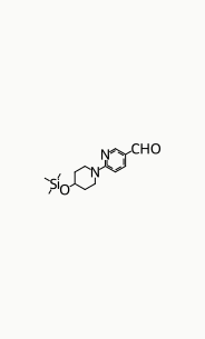 C[Si](C)(C)OC1CCN(c2ccc(C=O)cn2)CC1